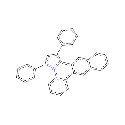 c1ccc(-c2cc(-c3ccccc3)n3c4ccccc4c4cc5ccccc5cc4c23)cc1